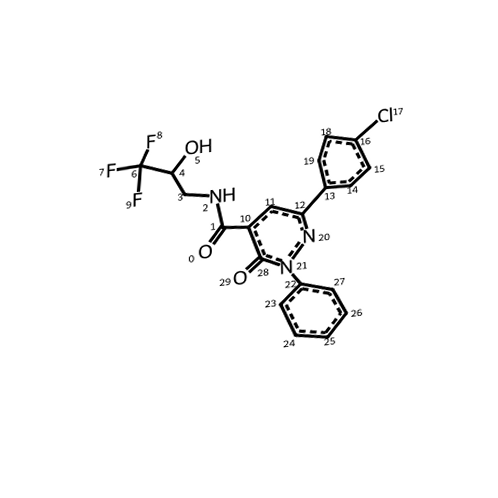 O=C(NCC(O)C(F)(F)F)c1cc(-c2ccc(Cl)cc2)nn(-c2ccccc2)c1=O